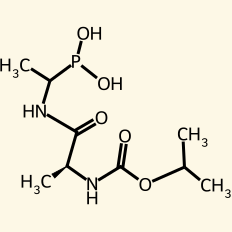 CC(C)OC(=O)N[C@@H](C)C(=O)NC(C)P(O)O